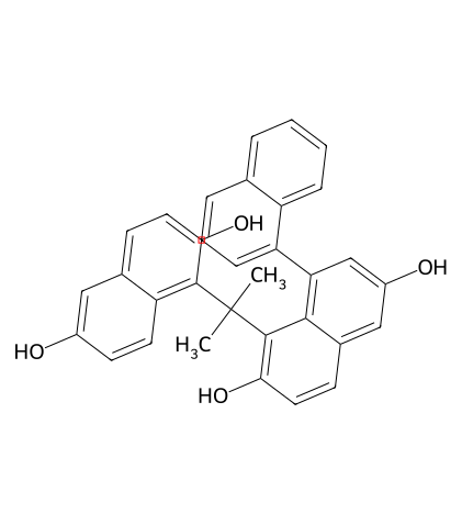 CC(C)(c1c(O)ccc2cc(O)ccc12)c1c(O)ccc2cc(O)cc(-c3cccc4ccccc34)c12